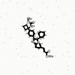 COC(=O)C=Cc1ccc2nc(-c3ccc(C4(NC(=O)OC(C)(C)C)CCC4)cc3)c(-c3ccccc3)n2c1